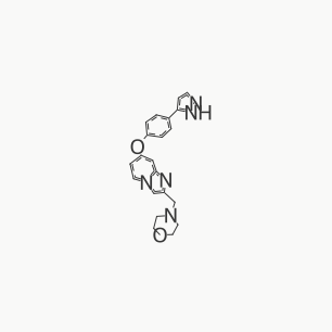 c1cc(-c2ccc(Oc3ccn4cc(CN5CCOCC5)nc4c3)cc2)[nH]n1